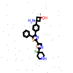 C[C@]1(O)C[C@@](N)(c2ccc(-c3nc(-c4cnc(C5(F)CCNCC5)s4)sc3-c3ccccc3)cc2)C1